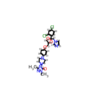 Cc1nn(C)c(=O)n1N1CCN(c2ccc(OCC3COC(Cn4ccnc4)(c4ccc(Cl)cc4Cl)O3)cc2)CC1